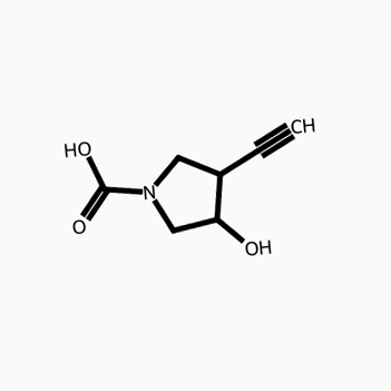 C#CC1CN(C(=O)O)CC1O